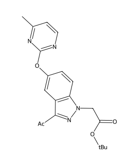 CC(=O)c1nn(CC(=O)OC(C)(C)C)c2ccc(Oc3nccc(C)n3)cc12